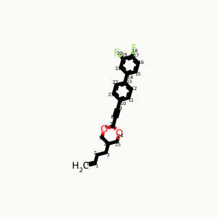 C=CCCC1COC(C#Cc2ccc(-c3ccc(F)c(F)c3)cc2)OC1